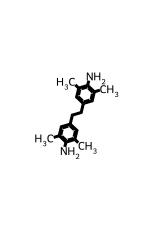 Cc1cc(CCc2cc(C)c(N)c(C)c2)cc(C)c1N